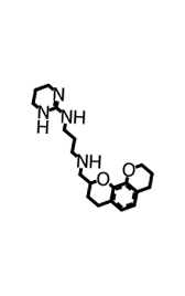 c1cc2c(c3c1CCCO3)OC(CNCCCNC1=NCCCN1)CC2